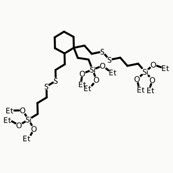 CCO[Si](CCCSSCCC1CCCCC1(CCSSCCC[Si](OCC)(OCC)OCC)CC[Si](OCC)(OCC)OCC)(OCC)OCC